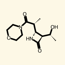 C[C@@H](O)[C@H]1C(=O)N[C@@H]1[C@@H](C)C(=O)N1CCOCC1